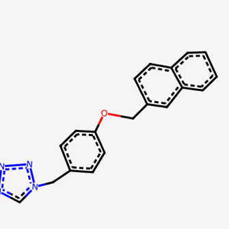 c1ccc2cc(COc3ccc(Cn4cnnn4)cc3)ccc2c1